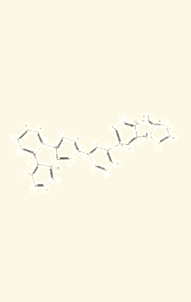 c1cc(-c2ccc3c4ccccc4c4ccccc4c3c2)cc(-c2ccc3nc4sccn4c3c2)c1